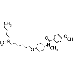 CCCCCN(C)CCCCCCOC1CCC(N(C)C(=O)c2ccc(OC)cc2)CC1